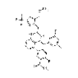 COCc1cc(C(F)(F)F)nn1CC(O)N[C@@H](Cc1cc(F)cc(F)c1)c1ncccc1-c1ccc(F)c(C(N)=O)c1